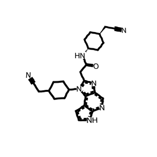 N#CCC1CCC(n2c(CC(=O)N[C@H]3CC[C@H](CC#N)CC3)nc3cnc4[nH]ccc4c32)CC1